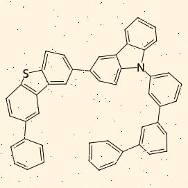 c1ccc(-c2cccc(-c3cccc(-n4c5ccccc5c5cc(-c6ccc7sc8ccc(-c9ccccc9)cc8c7c6)ccc54)c3)c2)cc1